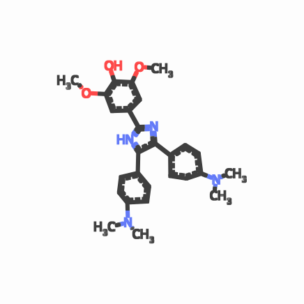 COc1cc(-c2nc(-c3ccc(N(C)C)cc3)c(-c3ccc(N(C)C)cc3)[nH]2)cc(OC)c1O